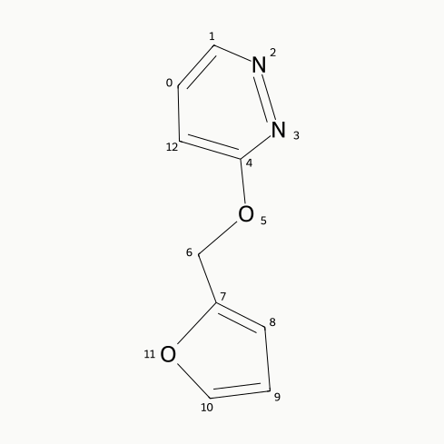 c1cnnc(OCc2ccco2)c1